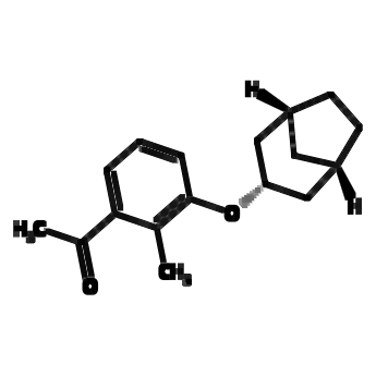 CC(=O)c1cccc(O[C@@H]2C[C@@H]3CC[C@@H](C3)C2)c1C